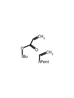 C=CC(=O)OC(C)(C)C.C=CCCCCC